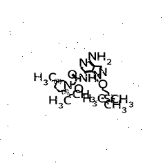 CC(C)[C@@H]1CC[C@@H](C)CN1C(=O)C(=O)Nc1cnc(N)c2cnn(COCC[Si](C)(C)C)c12